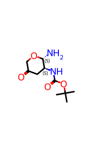 CC(C)(C)OC(=O)N[C@H]1CC(=O)CO[C@@H]1N